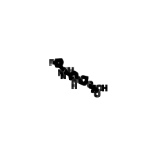 CC(C)(COC1CCN(C2=CC=C(c3nnc(-c4cccc(F)c4)[nH]3)CN2)CC1)C(=O)O